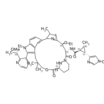 CCO[C@@H]1C2=NC(c3ccc4c(c3)c(c(-c3cccnc3[C@H](C)OC)n4CC)CC(C)(C)COC(=O)[C@@H]3CCCN(N3)C(=O)[C@H]1NC(=O)[C@H]1[C@H](C)[C@@H]1c1cn(C)cn1)C(C)S2